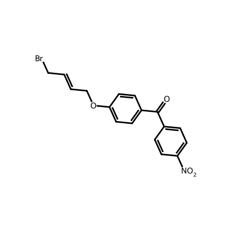 O=C(c1ccc(OC/C=C/CBr)cc1)c1ccc([N+](=O)[O-])cc1